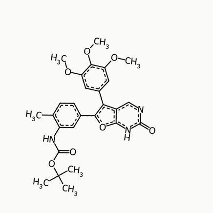 COc1cc(-c2c(-c3ccc(C)c(NC(=O)OC(C)(C)C)c3)oc3[nH]c(=O)ncc23)cc(OC)c1OC